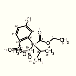 CCOC(=O)[N+](c1cc(Cl)ccc1[N+](=O)[O-])(C(C)C)[PH](C)=O